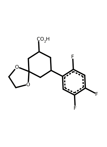 O=C(O)C1CC(c2cc(F)c(F)cc2F)CC2(C1)OCCO2